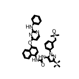 CP(C)(=O)Cc1cccc(-n2nc(S(C)(C)C)cc2NC(=O)Nc2ccc(Oc3ccnc(Nc4ccccc4)n3)c3ccccc23)c1